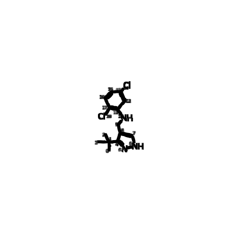 CC(C)(C)c1n[nH]cc1CNc1cc(Cl)ccc1Cl